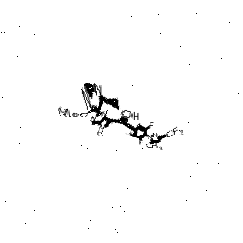 COc1ncnc(C2CC2)c1-c1ncc2[nH]cc(C(O)c3cc(F)c(-n4nc(C(F)(F)F)cc4C)c(F)c3)c2n1